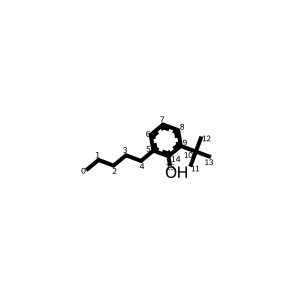 CCCCCc1cccc(C(C)(C)C)c1O